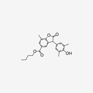 CCCCOC(=O)c1cc(C)c2c(c1)C(c1cc(C)c(O)c(C)c1)C(=O)O2